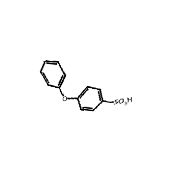 O=S(=O)(O)c1ccc(Oc2cc[c]cc2)cc1